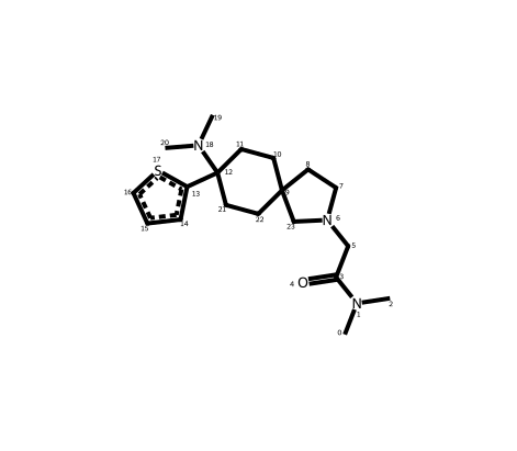 CN(C)C(=O)CN1CCC2(CCC(c3cccs3)(N(C)C)CC2)C1